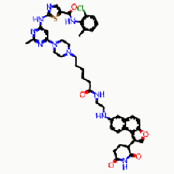 Cc1nc(Nc2ncc(C(=O)Nc3c(C)cccc3Cl)s2)cc(N2CCN(CCCCCC(=O)NCCNc3ccc4c(ccc5occ(C6CCC(=O)NC6=O)c54)c3)CC2)n1